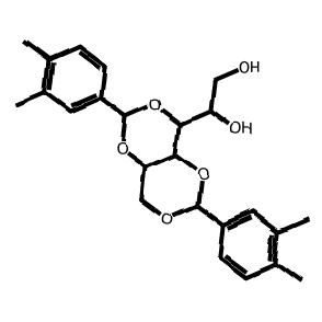 Cc1ccc(C2OC3COC(c4ccc(C)c(C)c4)OC3C(C(O)CO)O2)cc1C